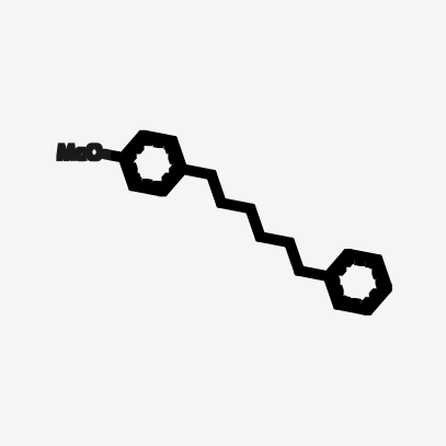 COc1ccc(CCCCCCc2ccccc2)cc1